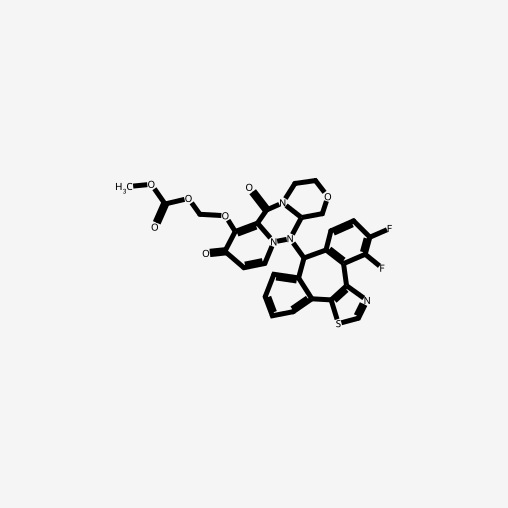 COC(=O)OCOc1c2n(ccc1=O)N(C1c3ccccc3-c3scnc3-c3c1ccc(F)c3F)C1COCCN1C2=O